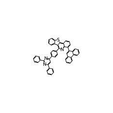 c1ccc(-c2cc(-c3ccc(-c4nc5c(-c6cc7ccccc7c7ccccc67)cccc5c5sc6ccccc6c45)cc3)nc(-c3ccccc3)n2)cc1